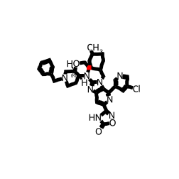 CC1CCC(Cn2c(N3CCO[C@@H]4CN(Cc5ccccc5)CC[C@H]43)nc3cc(-c4noc(=O)[nH]4)nc(-c4cncc(Cl)c4)c32)CC1